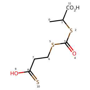 CC(SC(=O)SCCC(O)=S)C(=O)O